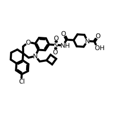 O=C(NS(=O)(=O)c1ccc2c(c1)N(CC1CCC1)CC1(CCCc3cc(Cl)ccc31)CO2)C1CCN(C(=O)O)CC1